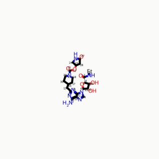 CCNC(=O)[C@H]1O[C@@H](n2cnc3c(N)nc(CC4CCN(C(=O)OC5CNC(=O)C5)CC4)nc32)C(O)C1O